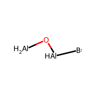 [B][AlH][O][AlH2]